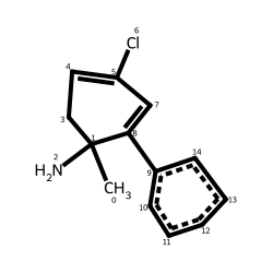 CC1(N)CC=C(Cl)C=C1c1ccccc1